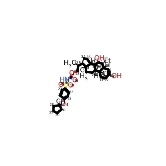 CC[C@H]1[C@@H](O)[C@@H]2[C@H](CC[C@]3(C)[C@@H]([C@H](C)COC(=O)NS(=O)(=O)c4ccc(OC5(C)CCCC5)cc4)CC[C@@H]23)[C@@]2(C)CC[C@@H](O)C[C@@H]12